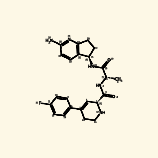 C[C@H](NC(=O)[C@H]1C=C(c2ccc(F)cc2)CCN1)C(=O)N[C@@H]1CCc2nc(N)ccc21